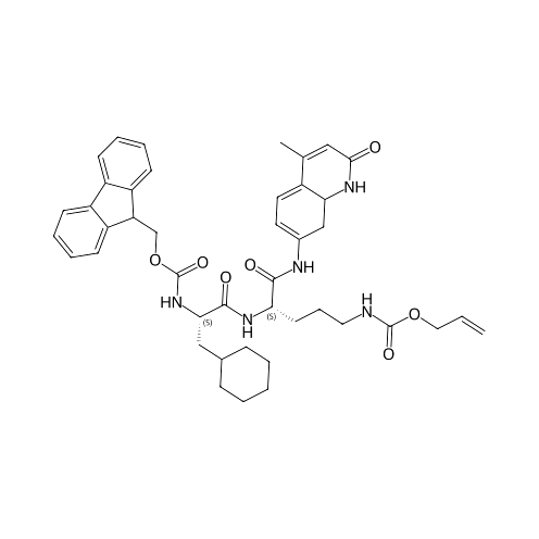 C=CCOC(=O)NCCC[C@H](NC(=O)[C@H](CC1CCCCC1)NC(=O)OCC1c2ccccc2-c2ccccc21)C(=O)NC1=CC=C2C(C)=CC(=O)NC2C1